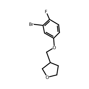 Fc1ccc(OCC2CCOC2)cc1Br